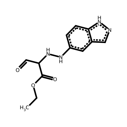 CCOC(=O)C(C=O)NNc1ccc2[nH]ncc2c1